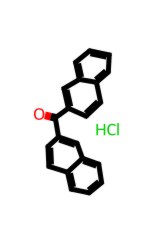 Cl.O=C(c1ccc2ccccc2c1)c1ccc2ccccc2c1